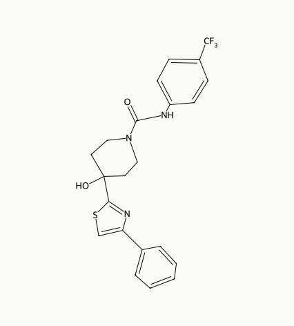 O=C(Nc1ccc(C(F)(F)F)cc1)N1CCC(O)(c2nc(-c3ccccc3)cs2)CC1